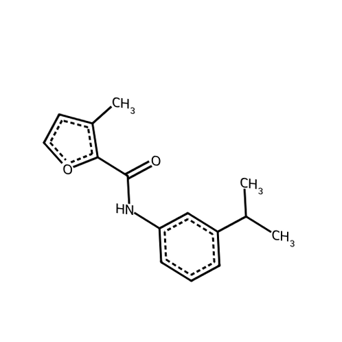 Cc1ccoc1C(=O)Nc1cccc(C(C)C)c1